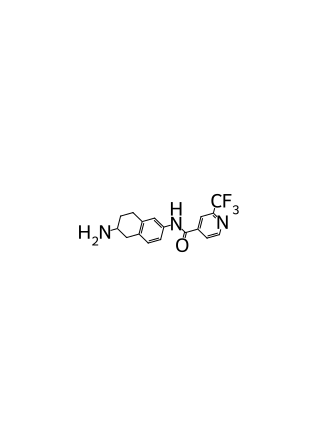 NC1CCc2cc(NC(=O)c3ccnc(C(F)(F)F)c3)ccc2C1